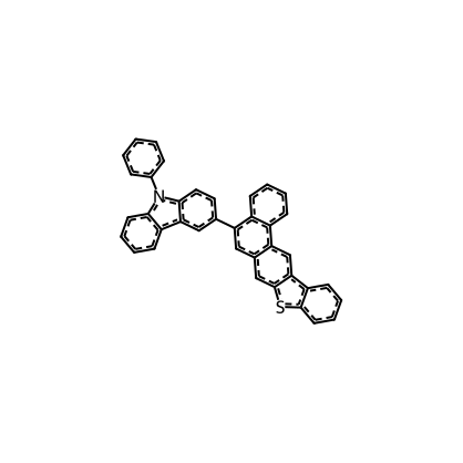 c1ccc(-n2c3ccccc3c3cc(-c4cc5cc6sc7ccccc7c6cc5c5ccccc45)ccc32)cc1